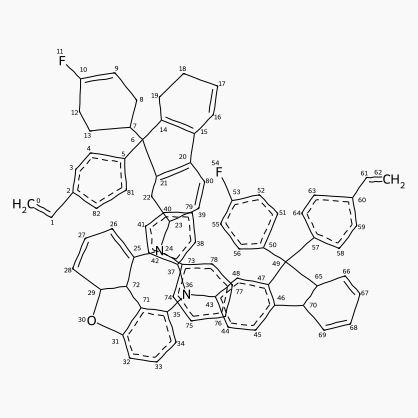 C=Cc1ccc(C2(C3CC=C(F)CC3)C3=C(C=CCC3)C3=C2CC(N(C2=CC=CC4Oc5cccc(N(c6ccccc6)c6ccc7c(c6)C(c6ccc(F)cc6)(c6ccc(C=C)cc6)C6C=CC=CC76)c5C24)c2ccccc2)C=C3)cc1